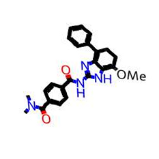 COC1=c2[nH]c(NC(=O)c3ccc(C(=O)N(C)C)cc3)nc2=C(c2ccccc2)CC1